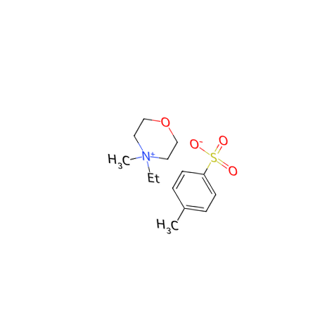 CC[N+]1(C)CCOCC1.Cc1ccc(S(=O)(=O)[O-])cc1